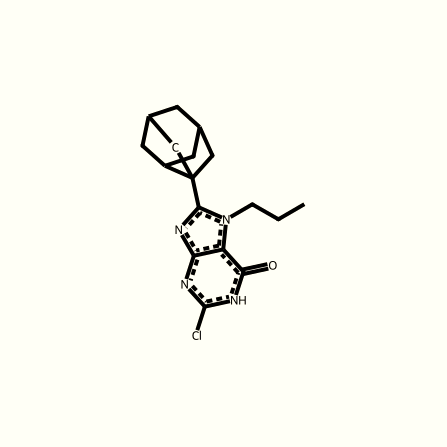 CCCn1c(C23CC4CC(CC2C4)C3)nc2nc(Cl)[nH]c(=O)c21